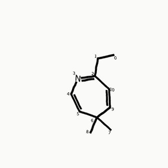 CCC1=NC=CC(C)(C)C=C1